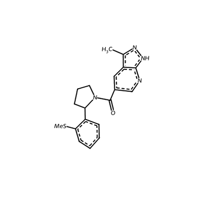 CSc1ccccc1C1CCCN1C(=O)c1cnc2[nH]nc(C)c2c1